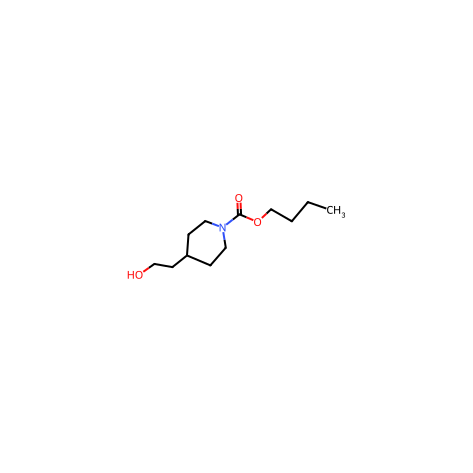 CCCCOC(=O)N1CCC(CCO)CC1